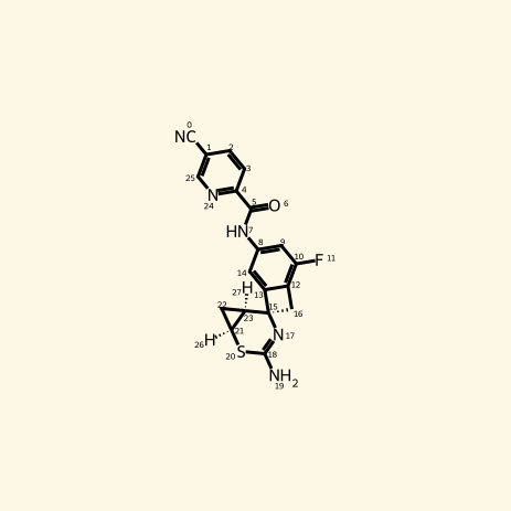 N#Cc1ccc(C(=O)Nc2cc(F)c3c(c2)[C@@]2(C3)N=C(N)S[C@H]3C[C@H]32)nc1